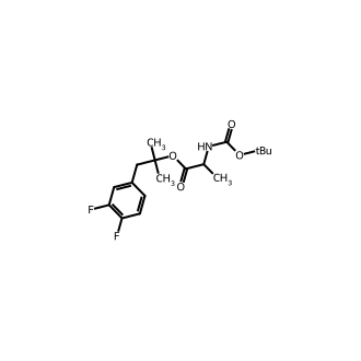 CC(NC(=O)OC(C)(C)C)C(=O)OC(C)(C)Cc1ccc(F)c(F)c1